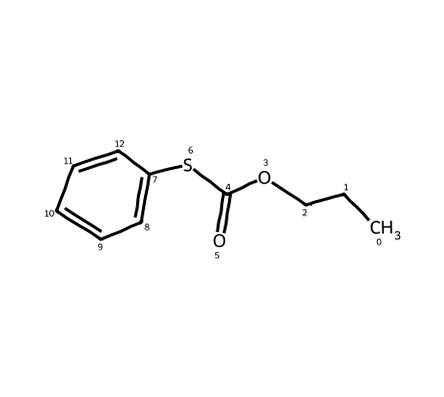 CC[CH]OC(=O)Sc1ccccc1